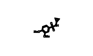 COc1ccc(S(=O)(=O)NC2CC2)cc1OC